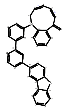 C=C1/C=C\C=C/CN(c2cccc(-c3cccc(-c4ccc5sc6ccccc6c5c4)c3)c2)c2ccccc21